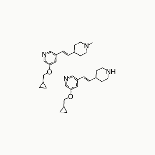 C(=C\C1CCNCC1)/c1cncc(OCC2CC2)c1.CN1CCC(/C=C/c2cncc(OCC3CC3)c2)CC1